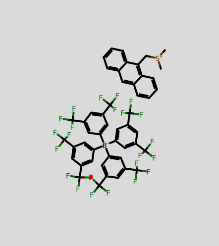 C[S+](C)Cc1c2ccccc2cc2ccccc12.FC(F)(F)c1cc([B-](c2cc(C(F)(F)F)cc(C(F)(F)F)c2)(c2cc(C(F)(F)F)cc(C(F)(F)F)c2)c2cc(C(F)(F)F)cc(C(F)(F)F)c2)cc(C(F)(F)F)c1